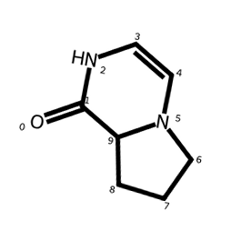 O=C1NC=CN2CCCC12